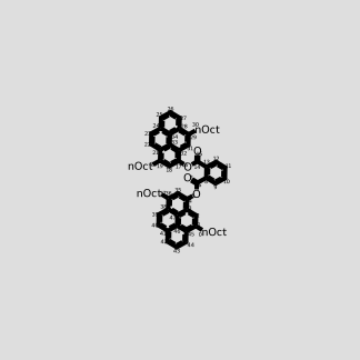 CCCCCCCCc1cc2c(OC(=O)c3ccccc3C(=O)Oc3cc(CCCCCCCC)c4ccc5cccc6c(CCCCCCCC)cc3c4c56)cc(CCCCCCCC)c3ccc4cccc1c4c32